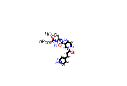 CCCCCC(=O)N[C@H](CC(=O)O)NC(=O)[C@@H]1CCCN(C(=O)CCC2CCNCC2)C1